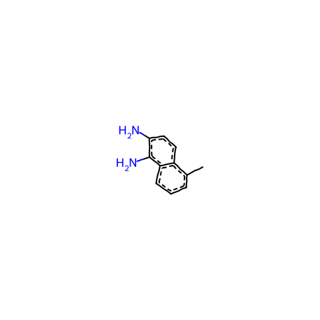 Cc1cccc2c(N)c(N)ccc12